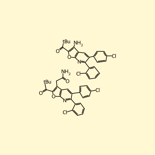 CC(C)(C)C(=O)c1oc2nc(-c3ccccc3Cl)c(-c3ccc(Cl)cc3)cc2c1CC(N)=O.CC(C)(C)C(=O)c1oc2nc(-c3ccccc3Cl)c(-c3ccc(Cl)cc3)cc2c1N